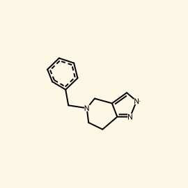 C1=C2CN(Cc3ccccc3)CCC2=N[N]1